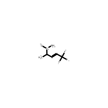 CC(C=CC(F)(F)F)[S+](N)[O-]